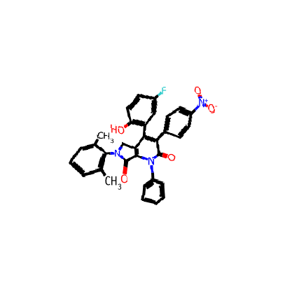 Cc1cccc(C)c1N1Cc2c(-c3cc(F)ccc3O)c(-c3ccc([N+](=O)[O-])cc3)c(=O)n(-c3ccccc3)c2C1=O